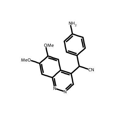 COc1cc2nncc(C(C#N)c3ccc(N)cc3)c2cc1OC